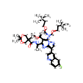 C=C(OCC)c1c(C(C)NC(=O)C2(C)COC(C)(C)OC2)nc2c(-c3cnc4ccc(F)cc4c3)cnn2c1N(COCC[Si](C)(C)C)COCC[Si](C)(C)C